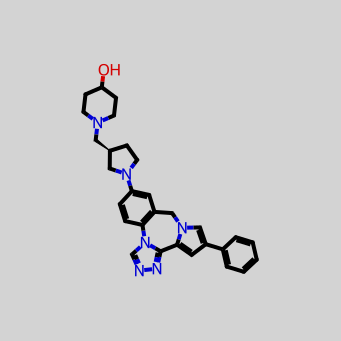 OC1CCN(C[C@H]2CCN(c3ccc4c(c3)Cn3cc(-c5ccccc5)cc3-c3nncn3-4)C2)CC1